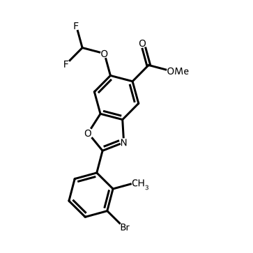 COC(=O)c1cc2nc(-c3cccc(Br)c3C)oc2cc1OC(F)F